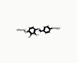 CCCCCCCc1ccc(/C=N/c2ccc(OCCCCC)c(F)c2F)cc1